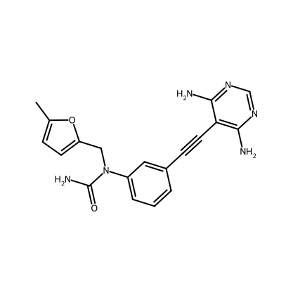 Cc1ccc(CN(C(N)=O)c2cccc(C#Cc3c(N)ncnc3N)c2)o1